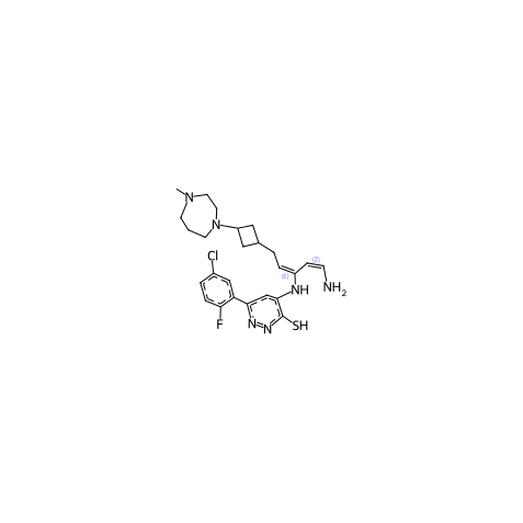 CN1CCCN(C2CC(C/C=C(\C=C/N)Nc3cc(-c4cc(Cl)ccc4F)nnc3S)C2)CC1